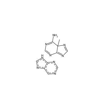 CC12N=CN=C1N=CN=C2N.c1ncc2nc[nH]c2n1